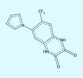 O=c1[nH]c2cc(-n3cccc3)c(C(F)(F)F)cc2[nH]c1=O